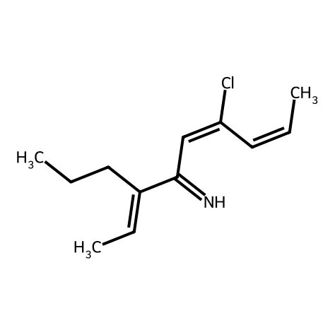 C/C=C\C(Cl)=C/C(=N)/C(=C/C)CCC